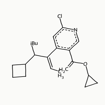 C=C(OC1CC1)c1cnc(Cl)cc1/C(=C\C)C(C(C)CC)C1CCC1